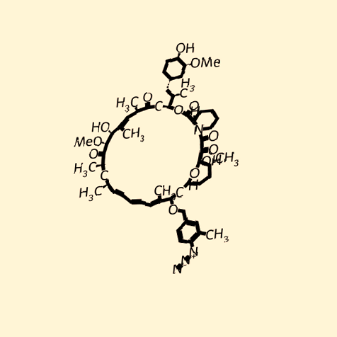 CO[C@@H]1C[C@H](C[C@@H](C)[C@@H]2CC(=O)[C@H](C)/C=C(\C)[C@@H](O)[C@@H](OC)C(=O)[C@H](C)C[C@H](C)/C=C/C=C/C=C(\C)C(OCc3ccc(N=[N+]=[N-])c(C)c3)C[C@@H]3CC[C@@H](C)[C@@](O)(O3)C(=O)C(=O)N3CCCC[C@H]3C(=O)O2)CC[C@H]1O